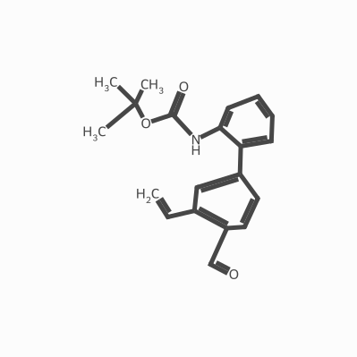 C=Cc1cc(-c2ccccc2NC(=O)OC(C)(C)C)ccc1C=O